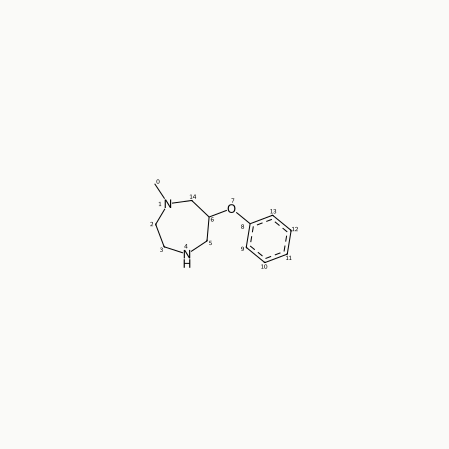 CN1CCNCC(Oc2ccccc2)C1